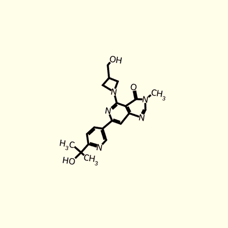 Cn1cnc2cc(-c3ccc(C(C)(C)O)nc3)nc(N3CC(CO)C3)c2c1=O